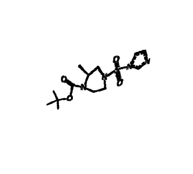 C[C@H]1CN(S(=O)(=O)n2ccnc2)CCN1C(=O)OC(C)(C)C